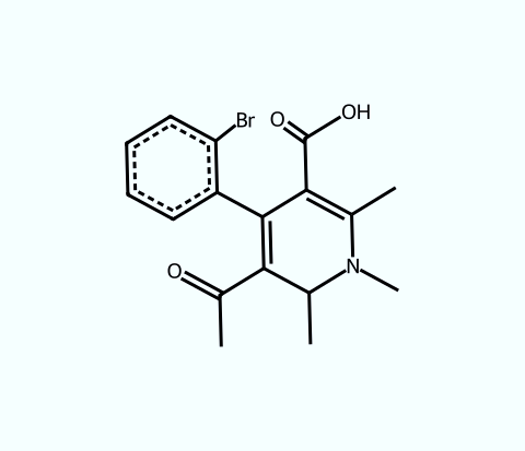 CC(=O)C1=C(c2ccccc2Br)C(C(=O)O)=C(C)N(C)C1C